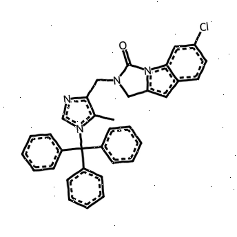 Cc1c(CN2Cc3cc4ccc(Cl)cc4n3C2=O)ncn1C(c1ccccc1)(c1ccccc1)c1ccccc1